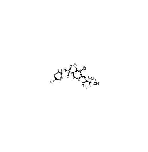 CC(=O)c1ccc(NS(=O)(=O)c2ccc(NC(=O)[C@@](C)(O)C(F)(F)F)c(Cl)c2Cl)cc1